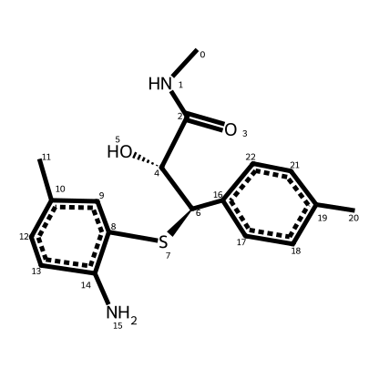 CNC(=O)[C@@H](O)[C@H](Sc1cc(C)ccc1N)c1ccc(C)cc1